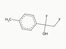 Cc1ccc(C(O)(F)CF)cc1